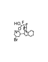 Brc1cncc(-c2cc3ccccc3[nH]2)c1.O=C(O)C(F)(F)F